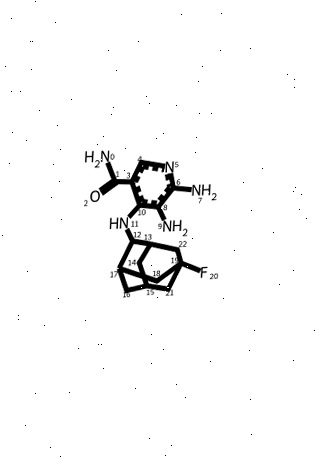 NC(=O)c1cnc(N)c(N)c1NC1C2CC3CC1CC(F)(C3)C2